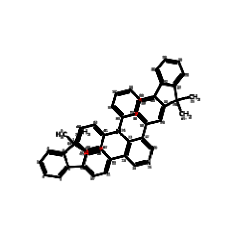 CC1(C)c2ccccc2-c2ccc(-c3cncc(-c4ccc5c(c4)C(C)(C)c4ccccc4-5)c3N(c3ccccc3)c3ccccc3)cc21